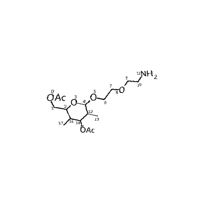 CC(=O)OCC1OC(OCCOCCN)C(C)C(OC(C)=O)C1C